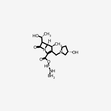 BNPOC(=O)C1=C(CN2CC[C@H](O)C2)[C@H](C)[C@@H]2C([C@@H](C)O)C(=O)N12